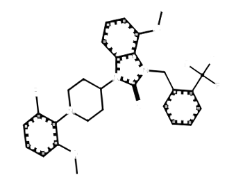 COc1cccc(F)c1N1CCC(n2c(=O)n(Cc3ccccc3C(F)(F)F)c3c(OC)cccc32)CC1